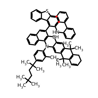 Cc1cc(C(C)(C)CCC(C)(C)C)ccc1N1c2cc3c(cc2Bc2c(-c4c(Nc5ccccc5-c5ccccc5)ccc5sc6ccccc6c45)cc4ccccc4c21)C(C)(C)C1=C(C=CCC1)C3(C)C